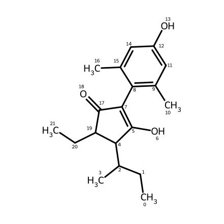 CCC(C)C1C(O)=C(c2c(C)cc(O)cc2C)C(=O)C1CC